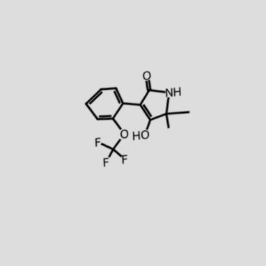 CC1(C)NC(=O)C(c2ccccc2OC(F)(F)F)=C1O